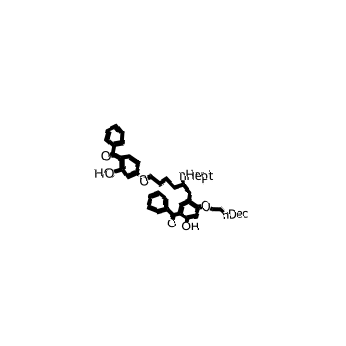 CCCCCCCCCCCCOc1cc(O)c(C(=O)c2ccccc2)cc1CC(CCCCCCC)CCCCOc1ccc(C(=O)c2ccccc2)c(O)c1